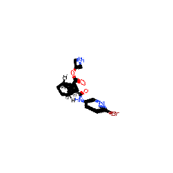 O=C(OC1CNC1)[C@H]1[C@H](C(=O)Nc2ccc(Br)nc2)[C@@H]2CC[C@H]1C21CC1